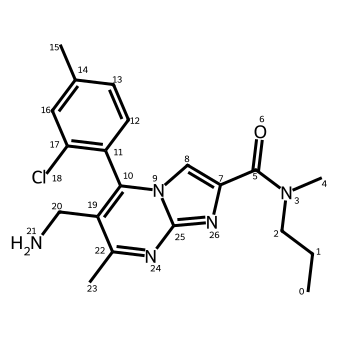 CCCN(C)C(=O)c1cn2c(-c3ccc(C)cc3Cl)c(CN)c(C)nc2n1